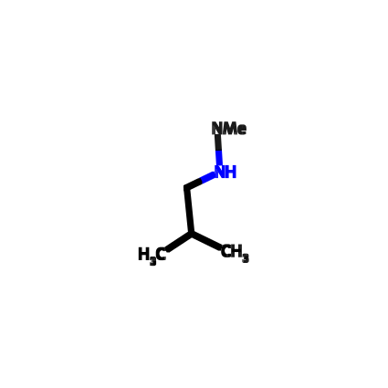 CNNCC(C)C